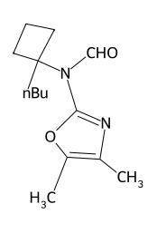 CCCCC1(N(C=O)c2nc(C)c(C)o2)CCC1